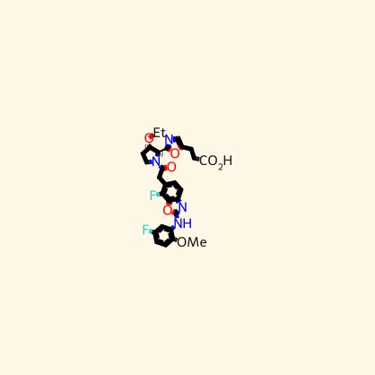 CCO[C@H]1CCN(C(=O)Cc2ccc3nc(Nc4cc(F)ccc4OC)oc3c2F)[C@@H]1c1ncc(CCC(=O)O)o1